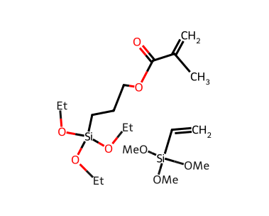 C=C(C)C(=O)OCCC[Si](OCC)(OCC)OCC.C=C[Si](OC)(OC)OC